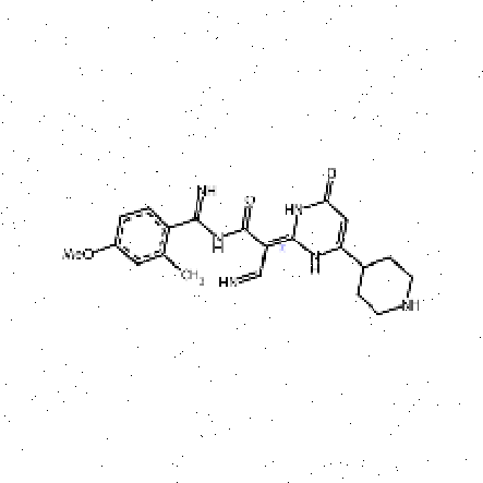 COc1ccc(C(=N)NC(=O)/C(C=N)=C2\NC(=O)C=C(C3CCNCC3)N2)c(C)c1